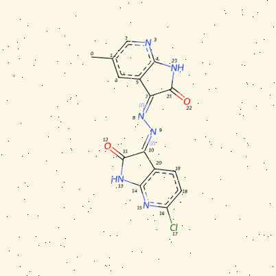 Cc1cnc2c(c1)/C(=N/N=C1\C(=O)Nc3nc(Cl)ccc31)C(=O)N2